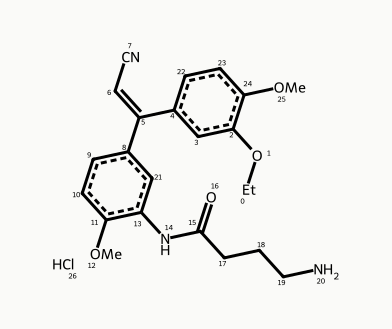 CCOc1cc(/C(=C\C#N)c2ccc(OC)c(NC(=O)CCCN)c2)ccc1OC.Cl